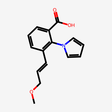 COCC=Cc1cccc(C(=O)O)c1-n1cccc1